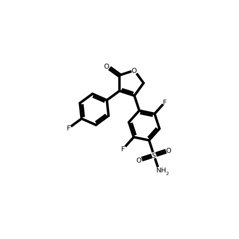 NS(=O)(=O)c1cc(F)c(C2=C(c3ccc(F)cc3)C(=O)OC2)cc1F